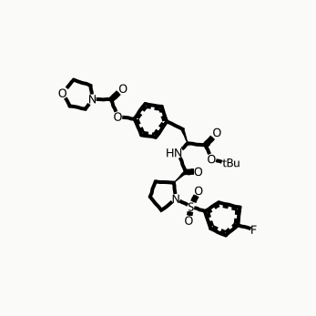 CC(C)(C)OC(=O)[C@H](Cc1ccc(OC(=O)N2CCOCC2)cc1)NC(=O)[C@@H]1CCCN1S(=O)(=O)c1ccc(F)cc1